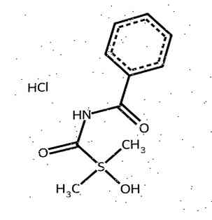 CS(C)(O)C(=O)NC(=O)c1ccccc1.Cl